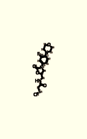 O=C(CSCl)NCC1CN(c2ccc(N3CCOCC3)c(F)c2)C(=O)O1